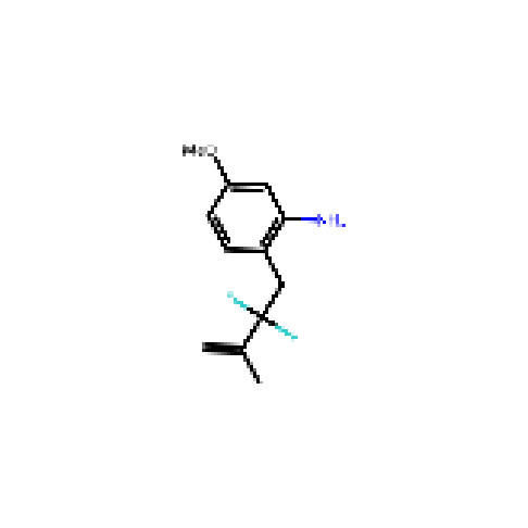 C=C(C)C(F)(F)Cc1ccc(OC)cc1N